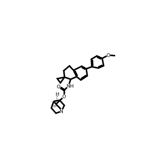 COc1ccc(-c2ccc3c(c2)CCC2(CC2)C3NC(=O)O[C@H]2CN3CCC2CC3)cc1